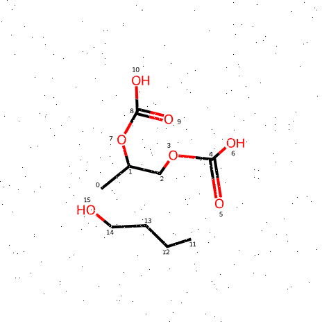 CC(COC(=O)O)OC(=O)O.CCCCO